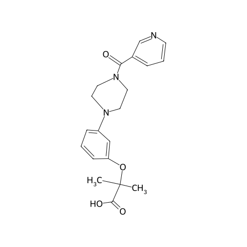 CC(C)(Oc1cccc(N2CCN(C(=O)c3cccnc3)CC2)c1)C(=O)O